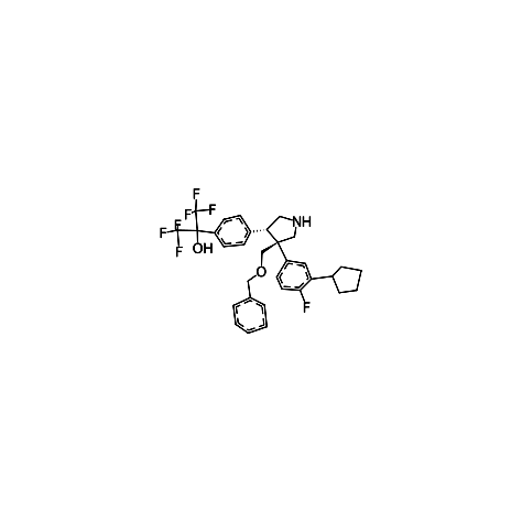 OC(c1ccc([C@@H]2CNC[C@]2(COCc2ccccc2)c2ccc(F)c(C3CCCC3)c2)cc1)(C(F)(F)F)C(F)(F)F